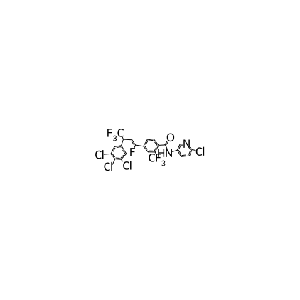 O=C(Nc1ccc(Cl)nc1)c1ccc(/C(F)=C/C(c2cc(Cl)c(Cl)c(Cl)c2)C(F)(F)F)cc1C(F)(F)F